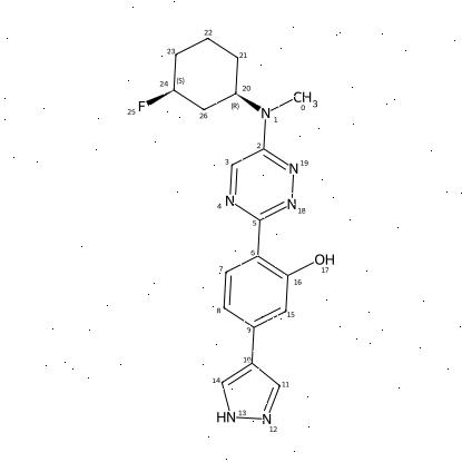 CN(c1cnc(-c2ccc(-c3cn[nH]c3)cc2O)nn1)[C@@H]1CCC[C@H](F)C1